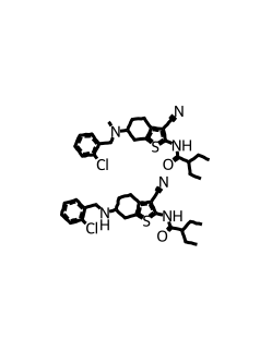 CCC(CC)C(=O)Nc1sc2c(c1C#N)CCC(N(C)Cc1ccccc1Cl)C2.CCC(CC)C(=O)Nc1sc2c(c1C#N)CCC(NCc1ccccc1Cl)C2